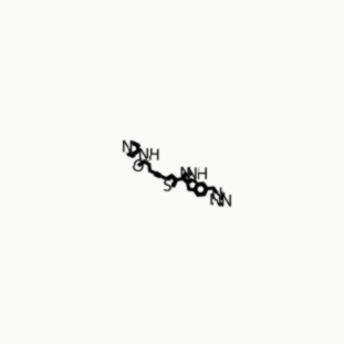 O=C(CCC#Cc1cc(-c2n[nH]c3c2Cc2ccc(Cn4cncn4)cc2-3)cs1)Nc1ccncc1